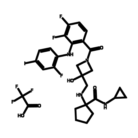 O=C(O)C(F)(F)F.O=C(c1ccc(F)c(F)c1Nc1ccc(I)cc1F)N1CC(O)(CNC2(C(=O)NC3CC3)CCCC2)C1